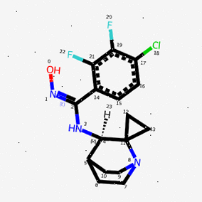 O/N=C(/N[C@@H]1C2CCN(CC2)C12CC2)c1ccc(Cl)c(F)c1F